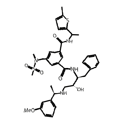 COc1cccc([C@@H](C)NC[C@@H](O)[C@H](Cc2ccccc2)NC(=O)c2cc(C(=O)NC(C)c3ccc(C)s3)cc(N(C)S(C)(=O)=O)c2)c1